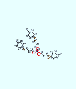 Cc1ccc(SCCCOP(OCCCSc2ccc(C)cc2)OCCCSc2ccc(C)cc2)cc1